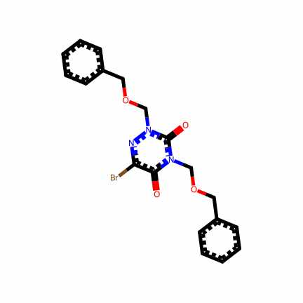 O=c1c(Br)nn(COCc2ccccc2)c(=O)n1COCc1ccccc1